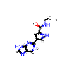 CCNC(=O)c1cc(-c2ncc3nc[nH]c3n2)c[nH]1